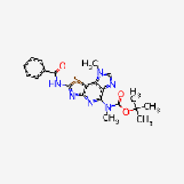 CN(C(=O)OC(C)(C)C)c1nc2nc(NC(=O)c3ccccc3)sc2c2c1ncn2C